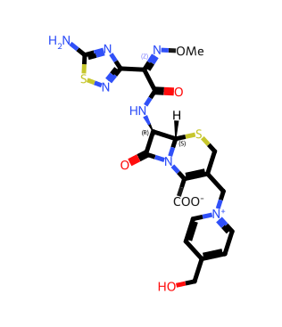 CO/N=C(\C(=O)N[C@@H]1C(=O)N2C(C(=O)[O-])=C(C[n+]3ccc(CO)cc3)CS[C@@H]12)c1nsc(N)n1